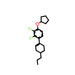 CCCC1CC=C(c2ccc(OC3CCCC3)c(F)c2F)CC1